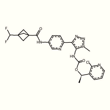 C[C@@H](OC(=O)Nc1c(-c2ccc(NC(=O)C34CC(C(F)F)(C3)C4)cn2)nnn1C)c1cccnc1Cl